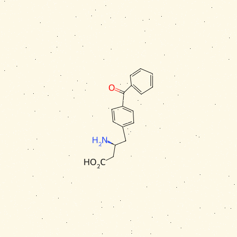 N[C@H](CC(=O)O)Cc1ccc(C(=O)c2ccccc2)cc1